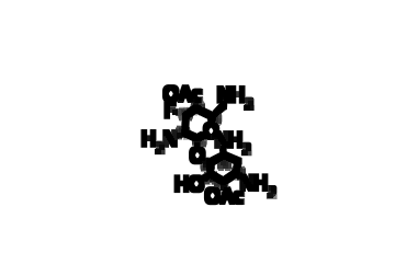 CC(=O)O[C@@H]1[C@@H](O)[C@H](O[C@H]2O[C@H](CN)[C@@H](OC(C)=O)[C@@H](F)[C@H]2N)[C@@H](N)C[C@H]1N